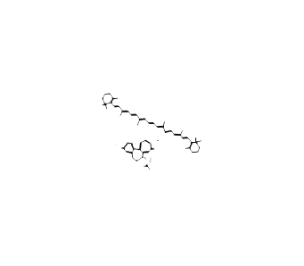 CC1=C(/C=C/C(C)=C/C=C/C(C)=C/C=C/C=C(C)/C=C/C=C(C)/C=C/C2=C(C)CCCC2(C)C)C(C)(C)CCC1.COc1cc2c(c(OC)c1OC)-c1ccc(OC)c(=O)cc1[C@@H](NC(C)=O)CC2